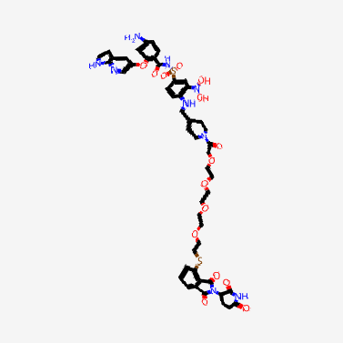 Nc1ccc(C(=O)NS(=O)(=O)c2ccc(NCC3CCN(C(=O)COCCOCCOCCOCCSc4cccc5c4C(=O)N(C4CCC(=O)NC4=O)C5=O)CC3)c(N(O)O)c2)c(Oc2cnc3[nH]ccc3c2)c1